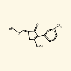 CCCO/C=C1\CC(NC)=C(c2cccc(C(F)(F)F)c2)C1=O